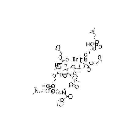 CN(C)CCOP(=O)(O)OCCOC(=O)C(C)(Br)CC(C)(CC(C)(C)C(=O)OCC(C)(COC(=O)C(C)(C)CC(C)(CC(C)(Br)C(=O)OCCOP(=O)(O)OCCN(C)C)C(=O)OCC1CO1)C(=O)OCCN1C(=O)C2C3C=CC(O3)C2C1=O)C(=O)OCC1CO1